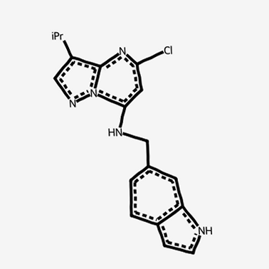 CC(C)c1cnn2c(NCc3ccc4cc[nH]c4c3)cc(Cl)nc12